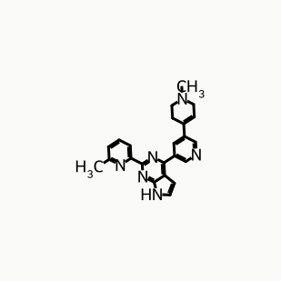 Cc1cccc(-c2nc(-c3cncc(C4=CCN(C)CC4)c3)c3cc[nH]c3n2)n1